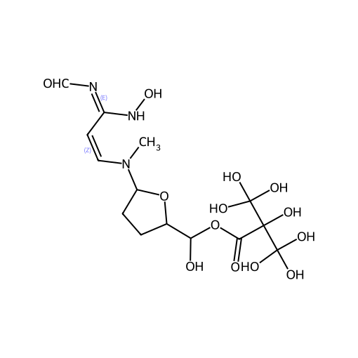 CN(/C=C\C(=N/C=O)NO)C1CCC(C(O)OC(=O)C(O)(C(O)(O)O)C(O)(O)O)O1